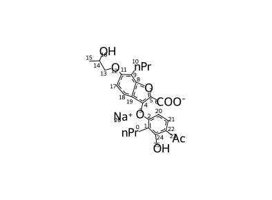 CCCc1c(Oc2c(C(=O)[O-])oc3c(CCC)c(OCC(C)O)ccc23)ccc(C(C)=O)c1O.[Na+]